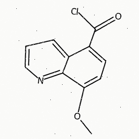 COc1ccc(C(=O)Cl)c2cccnc12